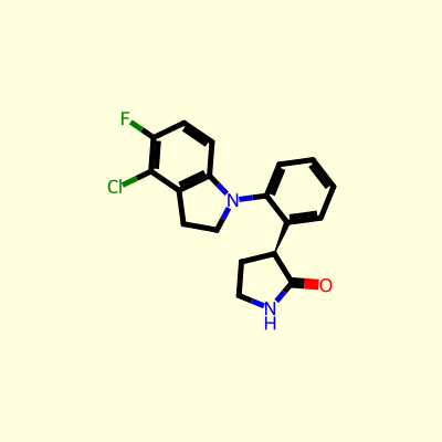 O=C1NCC[C@H]1c1ccccc1N1CCc2c1ccc(F)c2Cl